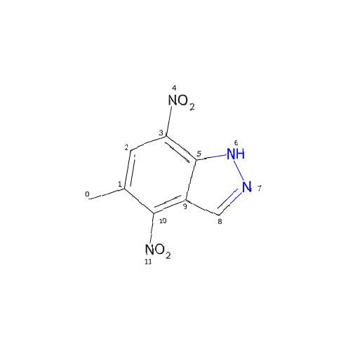 Cc1cc([N+](=O)[O-])c2[nH]ncc2c1[N+](=O)[O-]